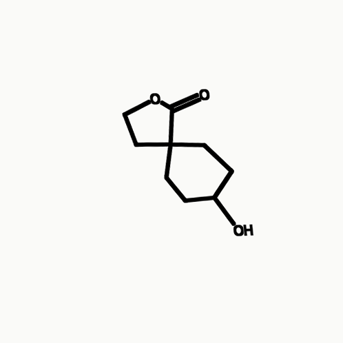 O=C1OCCC12CCC(O)CC2